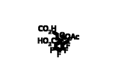 CC(=O)OP(=O)(CC(CCC(=O)O)C(=O)O)C(F)(F)c1ccc(F)c(F)c1F